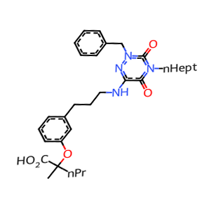 CCCCCCCn1c(=O)c(NCCCc2cccc(OC(C)(CCC)C(=O)O)c2)nn(Cc2ccccc2)c1=O